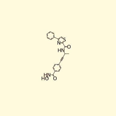 CC(C#Cc1ccc(C(=O)NO)cc1)NC(=O)c1nc(-c2ccccc2)cs1